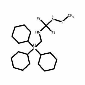 CCC(CC)(NC[PH](C1CCCCC1)(C1CCCCC1)C1CCCCC1)NSC(F)(F)F